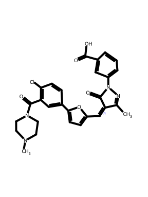 CC1=NN(c2cccc(C(=O)O)c2)C(=O)/C1=C\c1ccc(-c2ccc(Cl)c(C(=O)N3CCN(C)CC3)c2)o1